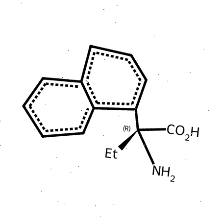 CC[C@](N)(C(=O)O)c1cccc2ccccc12